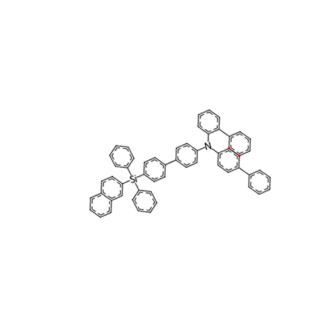 c1ccc(-c2ccc(N(c3ccc(-c4ccc([Si](c5ccccc5)(c5ccccc5)c5ccc6ccccc6c5)cc4)cc3)c3ccccc3-c3ccccc3)cc2)cc1